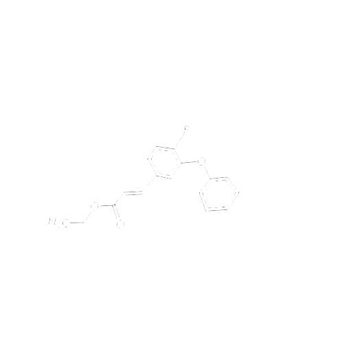 CCOC(=O)C=Cc1ccc(F)c(Oc2ccccc2)c1